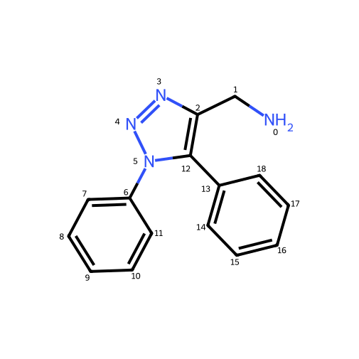 NCc1nnn(-c2ccccc2)c1-c1ccccc1